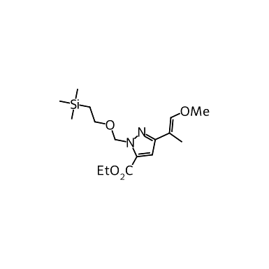 CCOC(=O)c1cc(/C(C)=C/OC)nn1COCC[Si](C)(C)C